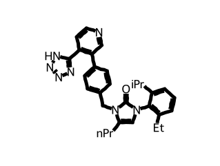 CCCc1cn(-c2c(CC)cccc2C(C)C)c(=O)n1Cc1ccc(-c2cnccc2-c2nnn[nH]2)cc1